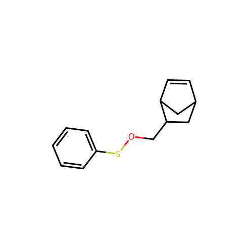 C1=CC2CC1CC2COSc1ccccc1